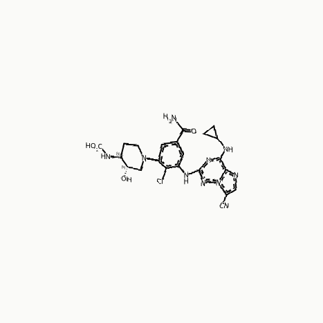 N#Cc1cnc2c(NC3CC3)nc(Nc3cc(C(N)=O)cc(N4CC[C@H](NC(=O)O)[C@@H](O)C4)c3Cl)nn12